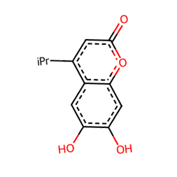 CC(C)c1cc(=O)oc2cc(O)c(O)cc12